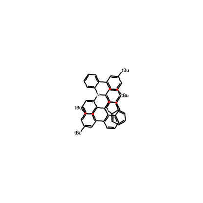 CC(C)(C)c1cc(-c2ccccc2N(c2ccccc2-c2cccc3cccc(-c4cc(C(C)(C)C)cc(C(C)(C)C)c4)c23)c2cccc3c2oc2ccccc23)cc(C(C)(C)C)c1